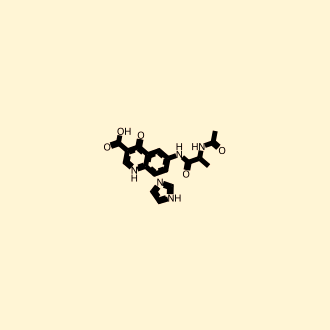 CC(=O)NC(C)C(=O)Nc1ccc2[nH]cc(C(=O)O)c(=O)c2c1.c1c[nH]cn1